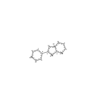 c1cnc2nc(-c3ccncc3)cn2c1